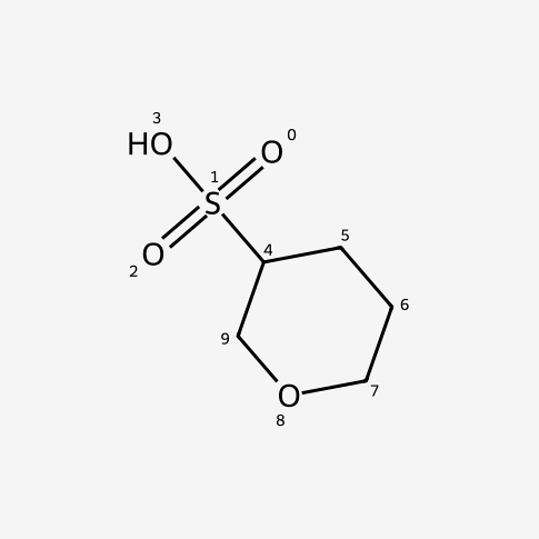 O=S(=O)(O)C1CCCOC1